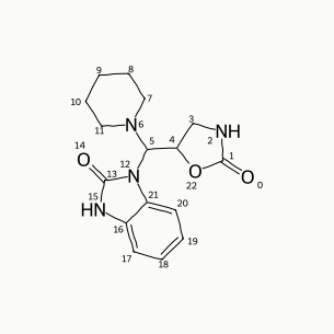 O=C1NCC(C(N2CCCCC2)n2c(=O)[nH]c3ccccc32)O1